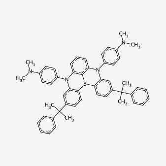 CN(C)c1ccc(N2c3cc(C(C)(C)c4ccccc4)ccc3B3c4ccc(C(C)(C)c5ccccc5)cc4N(c4ccc(N(C)C)cc4)c4cccc2c43)cc1